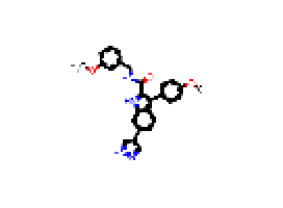 COc1ccc(-c2c(C(=O)NCc3cccc(OC)c3)[nH]c3cc(-c4cn[nH]c4)ccc23)cc1